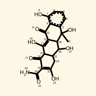 CC1(O)c2cccc(O)c2C(=O)C2=C(O)C3C(=O)C(C(N)=O)=C(O)CC3C(O)C21